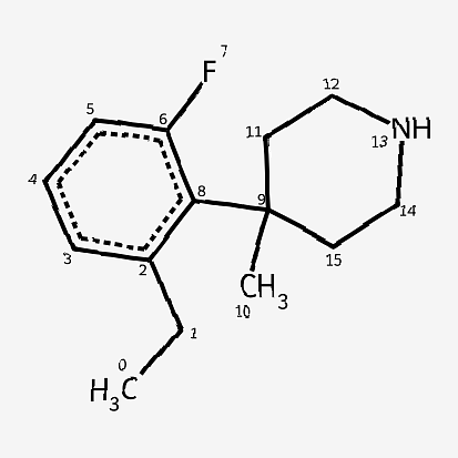 CCc1cccc(F)c1C1(C)CCNCC1